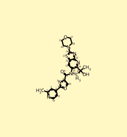 Cc1cc(-c2nc(C(=O)Nc3cc4sc(N5CCOCC5)nc4nc3C(C)(C)O)co2)ccn1